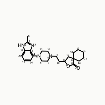 Cc1nc2c(N3CCN(CCC4CC5(CCCCC5)C(=O)O4)CC3)cccc2[nH]1